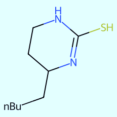 CCCCCC1CCNC(S)=N1